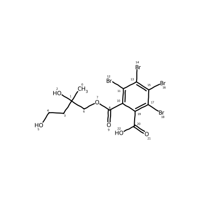 CC(O)(CCO)COC(=O)c1c(Br)c(Br)c(Br)c(Br)c1C(=O)O